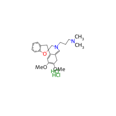 COC1=C(OC)CC2=CN(CCCN(C)C)CC3(Cc4ccccc4O3)C2=C1.Cl.Cl